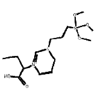 CCC(C(=O)O)[N+]1=CN(CCC[Si](OC)(OC)OC)CCC1